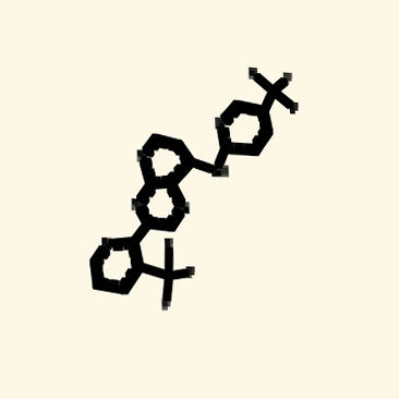 FC(F)(F)c1ccc(Nc2ccnc3nc(-c4ncccc4C(F)(F)F)cnc23)nc1